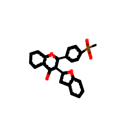 CS(=O)(=O)c1ccc(-c2oc3ccccc3c(=O)c2-c2cc3ccccc3o2)cc1